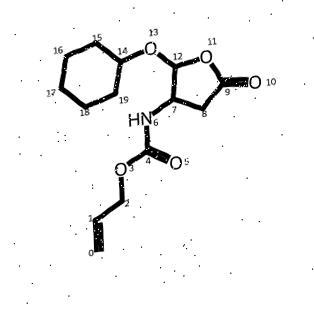 C=CCOC(=O)NC1CC(=O)OC1OC1CCCCC1